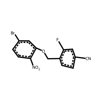 N#Cc1ccc(COc2cc(Br)ccc2[N+](=O)[O-])c(F)c1